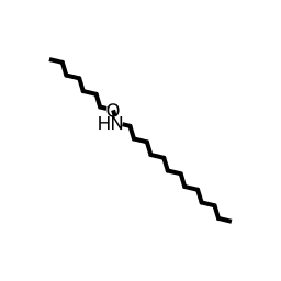 CCCCCCCCCCCCCNOCCCCCCC